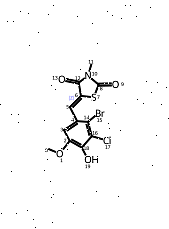 COc1cc(/C=C2\SC(=O)N(C)C2=O)c(Br)c(Cl)c1O